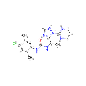 Cc1cc(NC(=O)N[C@@H](C)c2ncnn2-c2ncccn2)c(C)cc1Cl